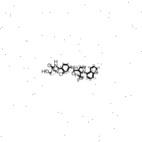 O=C(Nc1ccc(-c2nn(CO)c(=O)[nH]2)c(Cl)c1)c1cnn(-c2cccc3ncccc23)c1C(F)(F)F